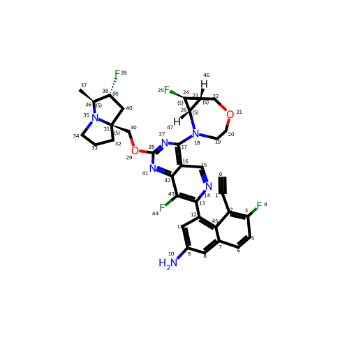 C#Cc1c(F)ccc2cc(N)cc(-c3ncc4c(N5CCOC[C@H]6[C@H](F)[C@H]65)nc(OC[C@@]56CCCN5[C@@H](C)[C@H](F)C6)nc4c3F)c12